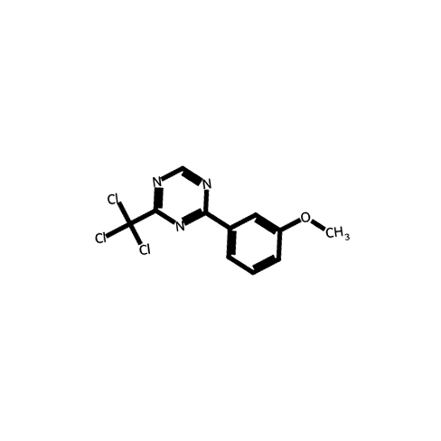 COc1cccc(-c2ncnc(C(Cl)(Cl)Cl)n2)c1